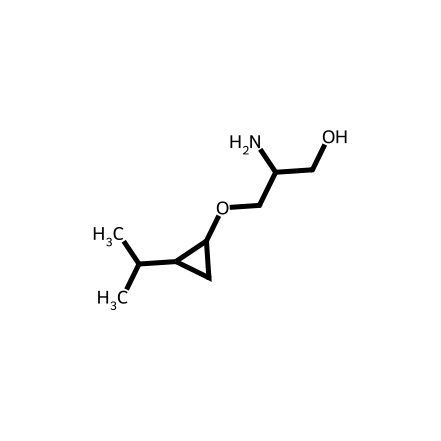 CC(C)C1CC1OCC(N)CO